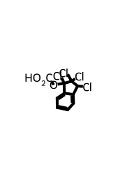 O=C(O)OC1(Cl)c2ccccc2C(Cl)C1(Cl)Cl